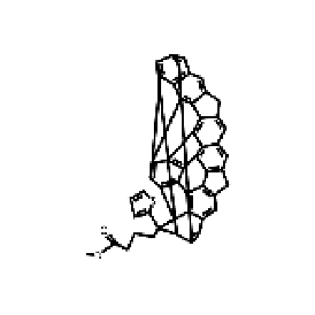 COC(=O)CCCC1(c2cccs2)C23C4=Cc5cc6c7c8c5C12c1c2c5c3c(cc3cc9c%10c%11c(cc%12cc(c7c7c%12c%11c(c2c%10c35)c7c18)C6)C9)C4